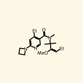 CC/C=C(/OC)C(C)(C)N(C)C(=O)c1cnc(N2CCC2)cc1CC